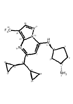 N[C@H]1CC[C@H](Nc2cc(C(C3CC3)C3CC3)nc3c(C(F)(F)F)cnn23)C1